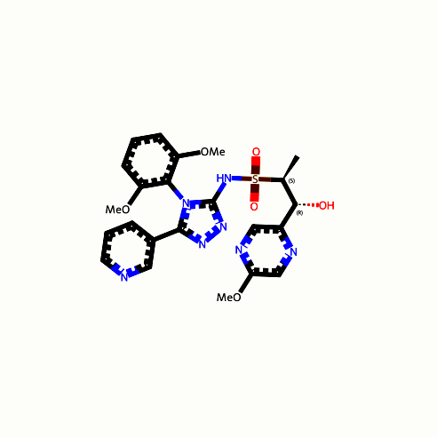 COc1cnc([C@@H](O)[C@H](C)S(=O)(=O)Nc2nnc(-c3cccnc3)n2-c2c(OC)cccc2OC)cn1